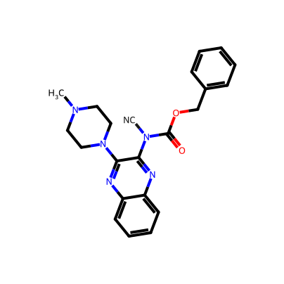 CN1CCN(c2nc3ccccc3nc2N(C#N)C(=O)OCc2ccccc2)CC1